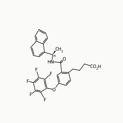 C[C@@H](NC(=O)c1cc(Oc2c(F)c(F)c(F)c(F)c2F)ccc1CCCC(=O)O)c1cccc2ccccc12